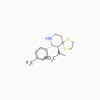 CC(C(=O)O)[C@H]1[C@H](c2ccc(C(F)(F)F)cc2)NCCC12SCCS2